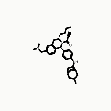 C#CC(=O)N1[C@@H](CCCC)Cc2cc(CN(C)C)ccc2[C@@H]1c1ccc(NC2=C3CC(C)CC(C3)C2)cc1